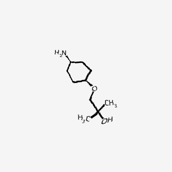 CC(C)(O)CO[C@H]1CC[C@@H](N)CC1